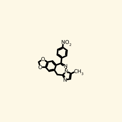 Cc1cnc2n1N=C(c1ccc([N+](=O)[O-])cc1)c1cc3c(cc1C2)OCO3